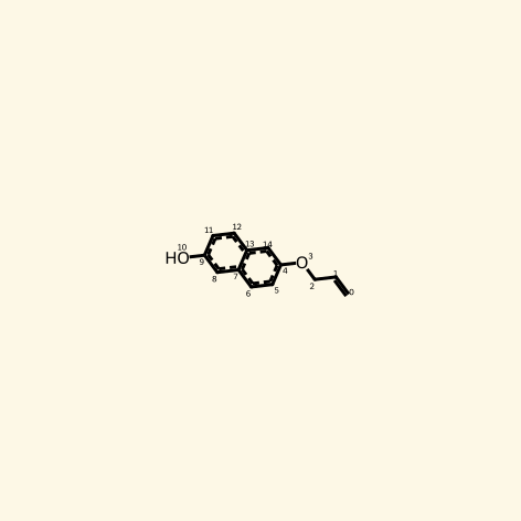 C=CCOc1ccc2cc(O)ccc2c1